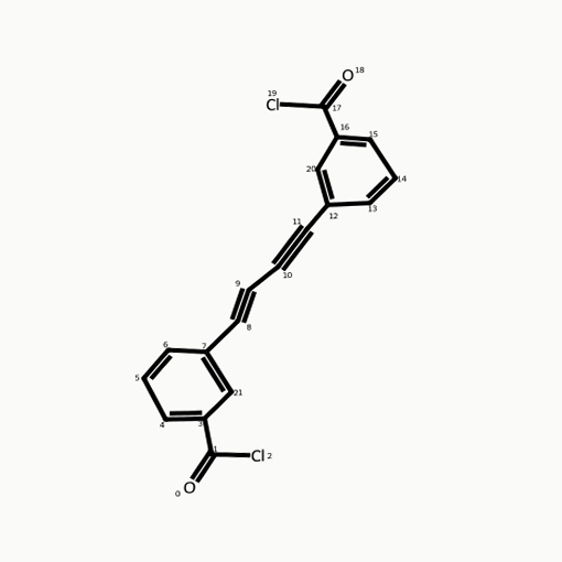 O=C(Cl)c1cccc(C#CC#Cc2cccc(C(=O)Cl)c2)c1